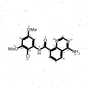 COc1cc(NC(=O)c2cccc3c(N)ncnc23)c(Cl)c(OC)c1